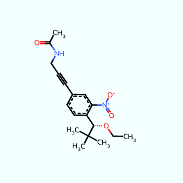 CCO[C@@H](c1ccc(C#CCNC(C)=O)cc1[N+](=O)[O-])C(C)(C)C